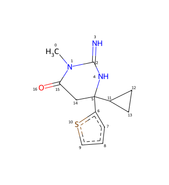 CN1C(=N)NC(c2cccs2)(C2CC2)CC1=O